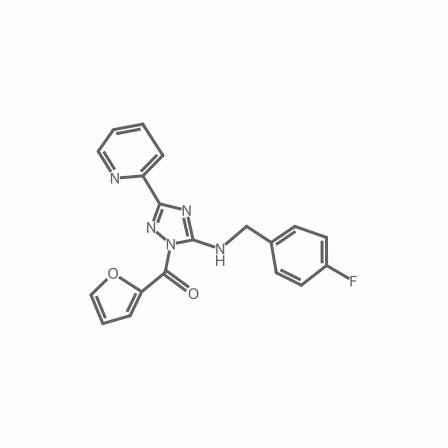 O=C(c1ccco1)n1nc(-c2ccccn2)nc1NCc1ccc(F)cc1